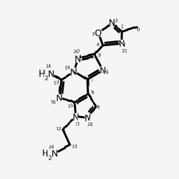 Cc1noc(-c2nc3c4cnn(CCN)c4nc(N)n3n2)n1